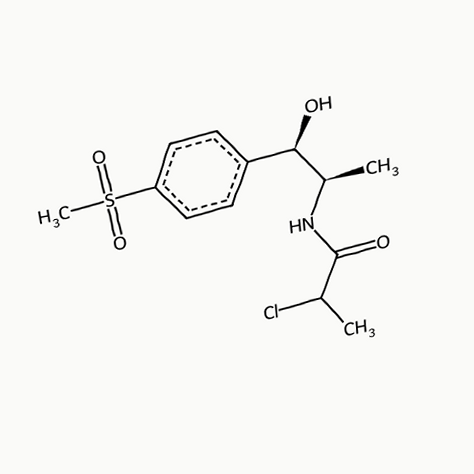 CC(Cl)C(=O)N[C@H](C)[C@H](O)c1ccc(S(C)(=O)=O)cc1